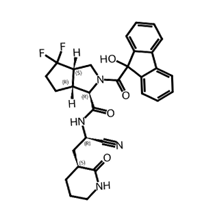 N#C[C@@H](C[C@@H]1CCCNC1=O)NC(=O)[C@H]1[C@@H]2CCC(F)(F)[C@@H]2CN1C(=O)C1(O)c2ccccc2-c2ccccc21